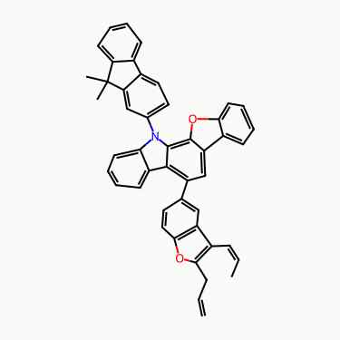 C=CCc1oc2ccc(-c3cc4c5ccccc5oc4c4c3c3ccccc3n4-c3ccc4c(c3)C(C)(C)c3ccccc3-4)cc2c1/C=C\C